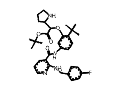 CC(C)(C)OC(=O)C(Oc1cc(NC(=O)c2cccnc2NCc2ccc(F)cc2)ccc1C(C)(C)C)C1CCCN1